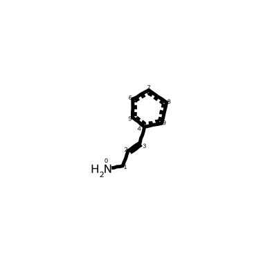 NC/C=C/c1ccccc1